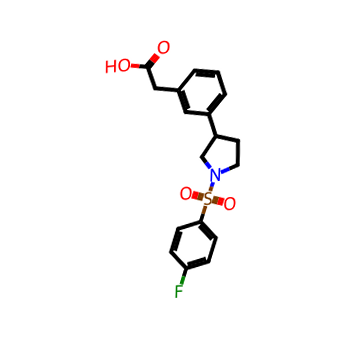 O=C(O)Cc1cccc(C2CCN(S(=O)(=O)c3ccc(F)cc3)C2)c1